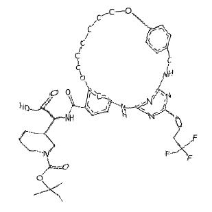 CC(C)(C)OC(=O)N1CCCC(C(NC(=O)c2ccc3cc2OCCCCCCOc2ccc(cc2)CNc2nc(nc(OCC(F)(F)F)n2)N3)C(=O)O)C1